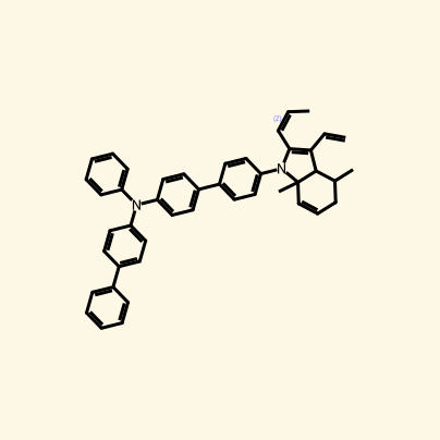 C=CC1=C(/C=C\C)N(c2ccc(-c3ccc(N(c4ccccc4)c4ccc(-c5ccccc5)cc4)cc3)cc2)C2(C)C=CCC(C)C12